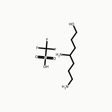 NCCCC(N)CCCO.O=S(=O)(O)C(F)(F)F